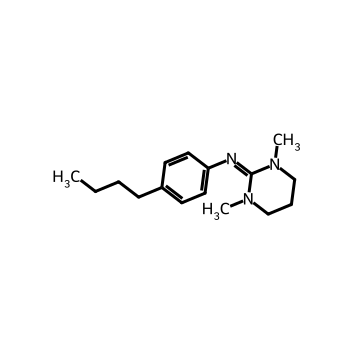 CCCCc1ccc(N=C2N(C)CCCN2C)cc1